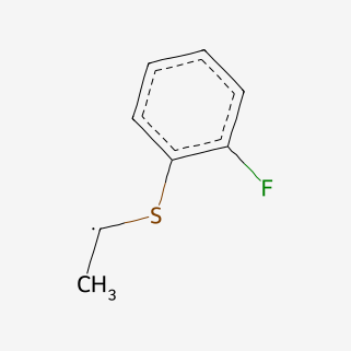 C[CH]Sc1ccccc1F